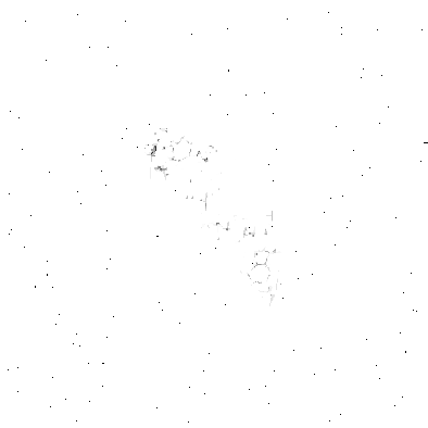 CC(c1oc2ccc(C(F)(F)F)cc2c1Cl)N1CCN(C(=O)COC2CCC(N(C)c3ccc([N+](=O)[O-])c(C(F)(F)F)c3)CC2)CC1